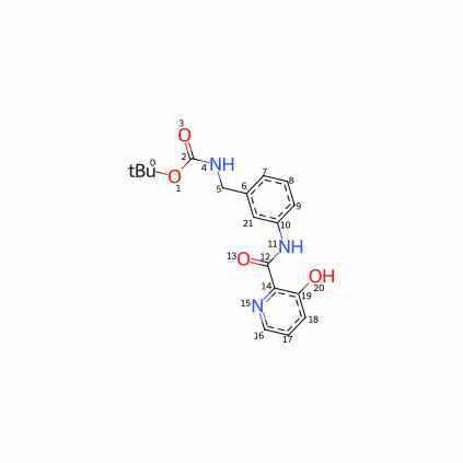 CC(C)(C)OC(=O)NCc1cccc(NC(=O)c2ncccc2O)c1